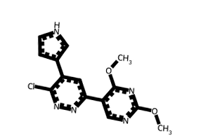 COc1ncc(-c2cc(-c3cc[nH]c3)c(Cl)nn2)c(OC)n1